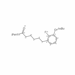 CCCCOc1cccc(CCCCCC(=O)C(C)CCC)c1F